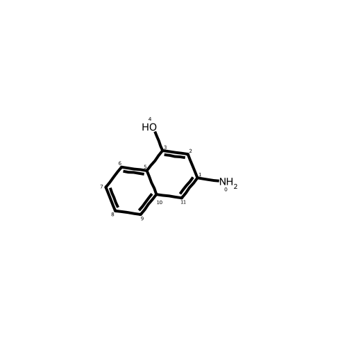 Nc1cc(O)c2ccccc2c1